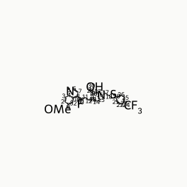 COc1ccc2nccc([C@H](F)CC[C@@H]3CCN(CCSc4ccc(C(F)(F)F)cc4)C[C@@H]3CO)c2c1